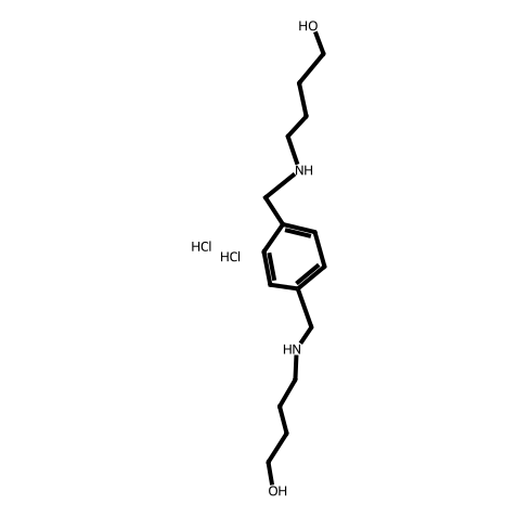 Cl.Cl.OCCCCNCc1ccc(CNCCCCO)cc1